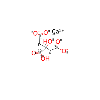 O=C([O-])CC(O)(CC(=O)[O-])C(=O)O.[Ca+2]